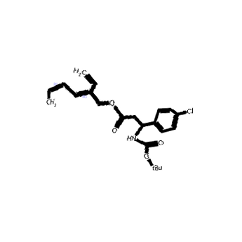 C=C/C(=C\C=C/C)COC(=O)CC(NC(=O)OC(C)(C)C)c1ccc(Cl)cc1